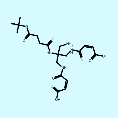 CC(C)(C)OC(=O)CCC(=O)NC(CN)(CNC(=O)/C=C\C(=O)O)CNC(=O)/C=C\C(=O)O